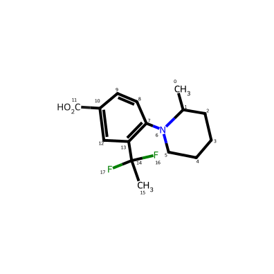 CC1CCCCN1c1ccc(C(=O)O)cc1C(C)(F)F